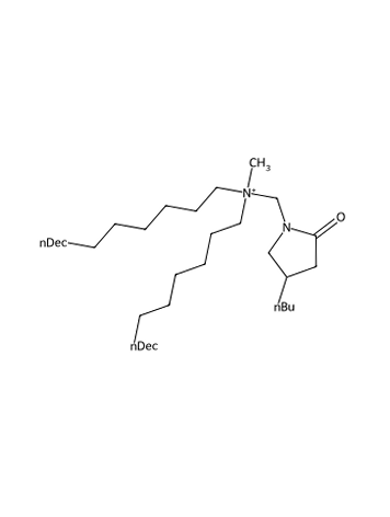 CCCCCCCCCCCCCCCC[N+](C)(CCCCCCCCCCCCCCCC)CN1CC(CCCC)CC1=O